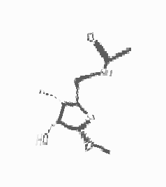 CO[C@@H]1O[C@H](CNC(C)=O)[C@@H](C)[C@H]1O